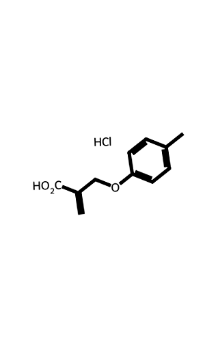 C=C(COc1ccc(C)cc1)C(=O)O.Cl